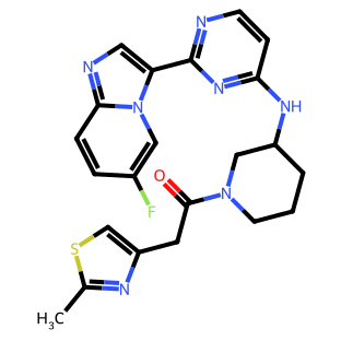 Cc1nc(CC(=O)N2CCCC(Nc3ccnc(-c4cnc5ccc(F)cn45)n3)C2)cs1